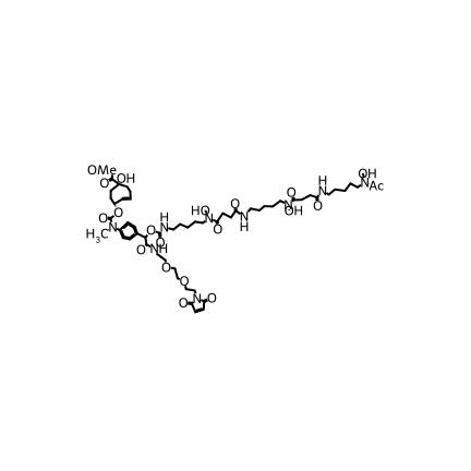 COC(=O)[C@]1(O)CC/C=C/[C@H](OC(=O)N(C)c2ccc(C(OC(=O)NCCCCCN(O)C(=O)CCC(=O)NCCCCCN(O)C(=O)CCC(=O)NCCCCCN(O)C(C)=O)C(=O)NCCOCCOCCN3C(=O)C=CC3=O)cc2)CC1